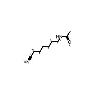 CC(=O)NCCCCCCC#N